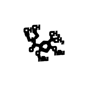 C#CCN(CC#C)C(=O)c1cc(C(=C)C)c(OCCCC)cc1OCCCC